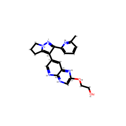 Cc1cccc(-c2nn3c(c2-c2cnc4ncc(OCCO)nc4c2)CCC3)n1